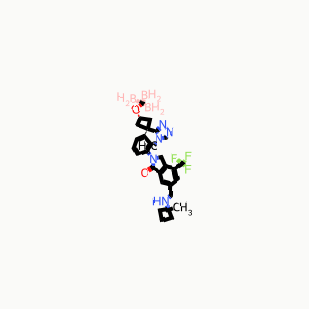 BC(B)(B)O[C@H]1C[C@](c2cccc(N3Cc4c(cc(CNC5(C)CCC5)cc4C(F)(F)F)C3=O)c2)(c2nncn2C)C1